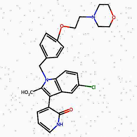 O=C(O)c1c(-c2ccc[nH]c2=O)c2cc(Cl)ccc2n1Cc1ccc(OCCN2CCOCC2)cc1